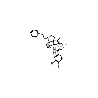 C=C(C)C1(C(CC)(NC(=O)c2ccc(F)c(F)c2)C(=O)O)CCN(CCc2ccccc2)C1=O